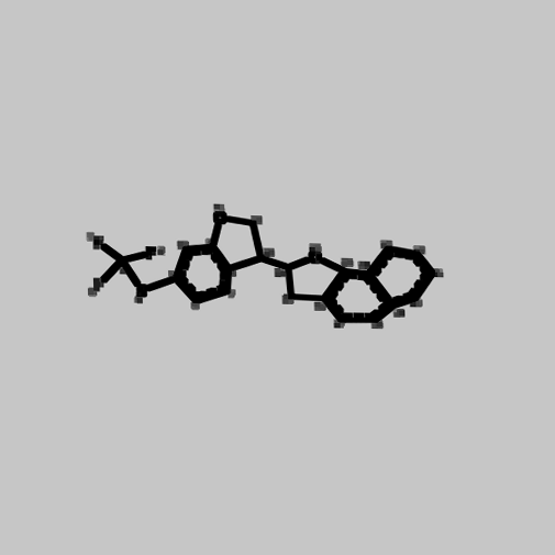 FC(F)(F)Sc1ccc2c(c1)OCC2C1[CH]c2ccc3ccccc3c2O1